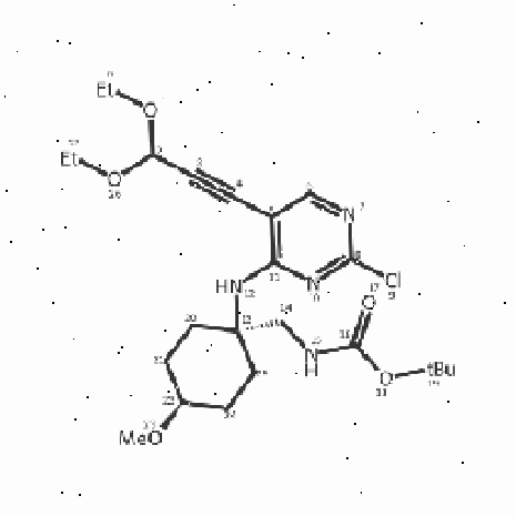 CCOC(C#Cc1cnc(Cl)nc1N[C@]1(CNC(=O)OC(C)(C)C)CC[C@H](OC)CC1)OCC